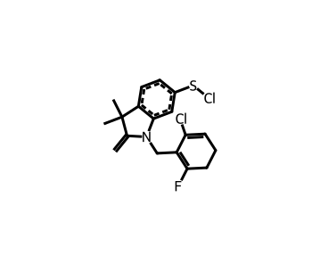 C=C1N(CC2=C(F)CCC=C2Cl)c2cc(SCl)ccc2C1(C)C